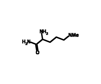 CNCCCC(N)C(N)=O